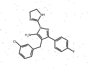 Nc1c(Cc2cccc(Cl)c2)c(-c2ccc(F)cc2)nn1C1=NCCN1